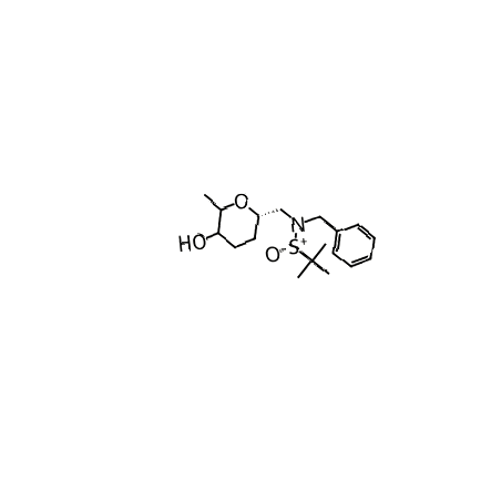 CC1O[C@H](CN(Cc2ccccc2)[S@@+]([O-])C(C)(C)C)CCC1O